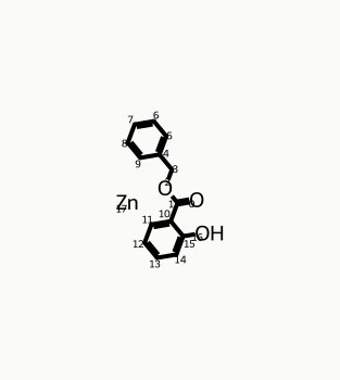 O=C(OCc1ccccc1)c1ccccc1O.[Zn]